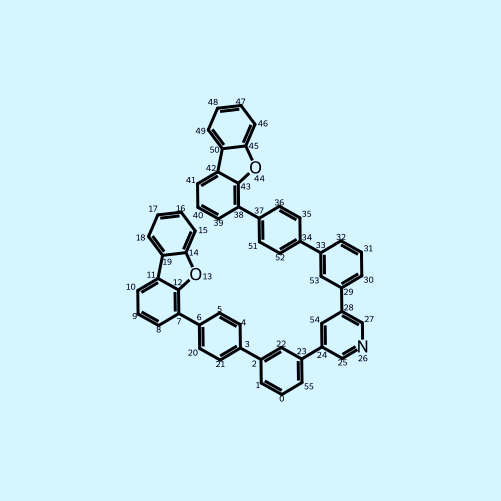 c1cc(-c2ccc(-c3cccc4c3oc3ccccc34)cc2)cc(-c2cncc(-c3cccc(-c4ccc(-c5cccc6c5oc5ccccc56)cc4)c3)c2)c1